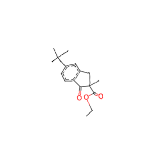 CCOC(=O)C1(C)Cc2cc(C(C)(C)C)ccc2C1=O